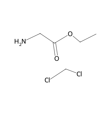 CCOC(=O)CN.ClCCl